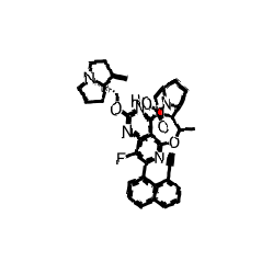 C#Cc1cccc2cccc(-c3nc4c5c(nc(OC[C@]67CCCN6CCC7=C)nc5c3F)N3CC5CCC(C3C(C)O4)N5C(=O)O)c12